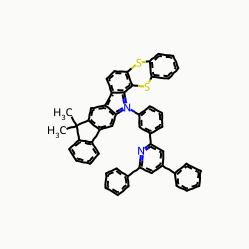 CC1(C)c2ccccc2-c2cc3c(cc21)c1ccc2c(c1n3-c1cccc(-c3cc(-c4ccccc4)cc(-c4ccccc4)n3)c1)Sc1ccccc1S2